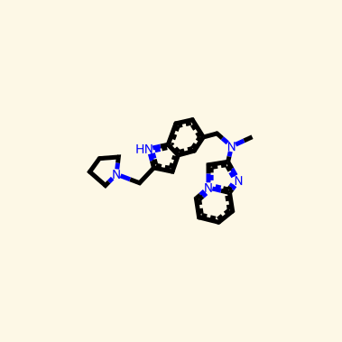 CN(Cc1ccc2[nH]c(CN3CCCC3)cc2c1)c1cn2ccccc2n1